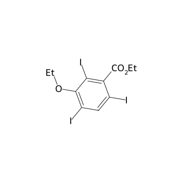 CCOC(=O)c1c(I)cc(I)c(OCC)c1I